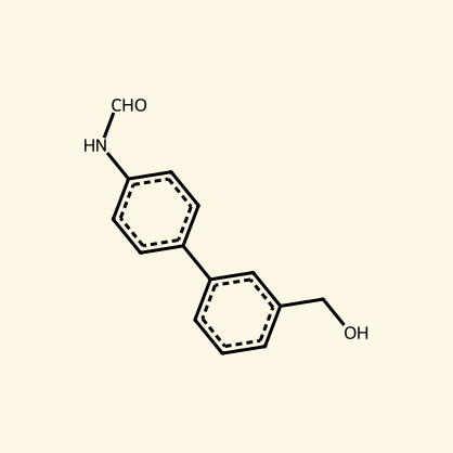 O=CNc1ccc(-c2cccc(CO)c2)cc1